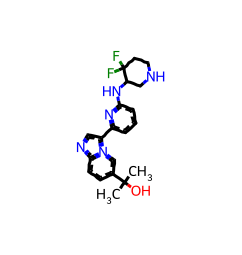 CC(C)(O)c1ccc2ncc(-c3cccc(NC4CNCCC4(F)F)n3)n2c1